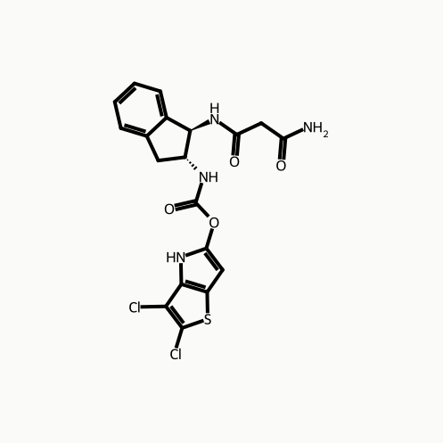 NC(=O)CC(=O)N[C@@H]1c2ccccc2C[C@H]1NC(=O)Oc1cc2sc(Cl)c(Cl)c2[nH]1